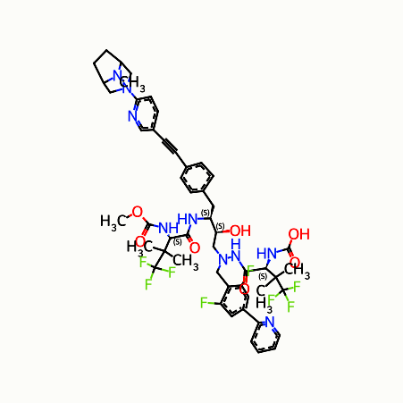 COC(=O)N[C@H](C(=O)N[C@@H](Cc1ccc(C#Cc2ccc(N3CC4CCC(C3)N4C)nc2)cc1)[C@@H](O)CN(Cc1c(F)cc(-c2ccccn2)cc1F)NC(=O)[C@@H](NC(=O)O)C(C)(C)C(F)(F)F)C(C)(C)C(F)(F)F